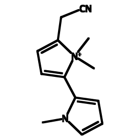 Cn1cccc1C1=CC=C(CC#N)[N+]1(C)C